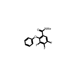 CNC(=O)c1cc(F)c(F)c(F)c1Oc1ccccc1